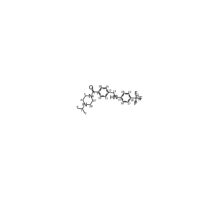 CC(C)N1CCN(C(=O)c2ccc(CNc3ccc(C(F)(F)F)cc3)cc2)CC1